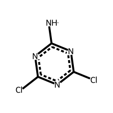 [NH]c1nc(Cl)nc(Cl)n1